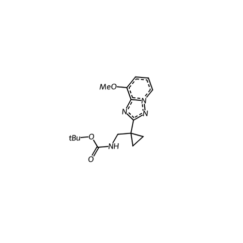 COc1cccn2nc(C3(CNC(=O)OC(C)(C)C)CC3)nc12